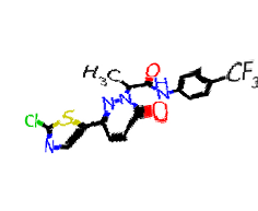 CC(C(=O)Nc1ccc(C(F)(F)F)cc1)n1nc(-c2cnc(Cl)s2)ccc1=O